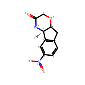 O=C1COC2Cc3ccc([N+](=O)[O-])cc3[C@H]2N1